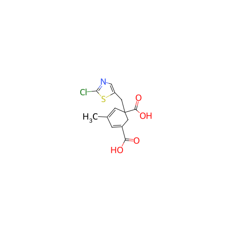 CC1=CC(Cc2cnc(Cl)s2)(C(=O)O)CC(C(=O)O)=C1